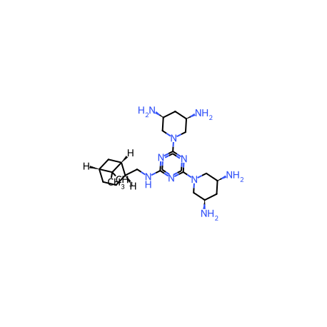 CC1(C)[C@@H]2CC[C@@H](CNc3nc(N4C[C@H](N)C[C@H](N)C4)nc(N4C[C@H](N)C[C@H](N)C4)n3)[C@H]1C2